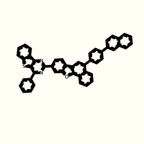 c1ccc(-c2nc(-c3ccc4c(c3)oc3c5ccccc5c(-c5ccc(-c6ccc7ccccc7c6)cc5)cc43)nc3c2sc2ccccc23)cc1